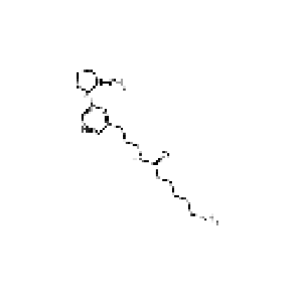 CN1CCC[C@H]1c1cncc(CCCNC(=O)CCCCCN)c1